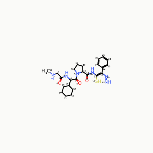 CNCC(=O)NC(C(=O)N1CCCC1C(=O)N/C(S)=C(/N=N)c1ccccc1)C1CCCCC1